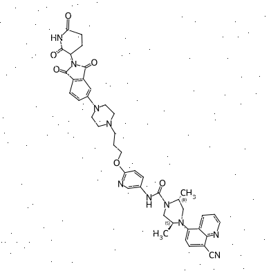 C[C@@H]1CN(c2ccc(C#N)c3ncccc23)[C@@H](C)CN1C(=O)Nc1ccc(OCCCN2CCN(c3ccc4c(c3)C(=O)N(C3CCC(=O)NC3=O)C4=O)CC2)nc1